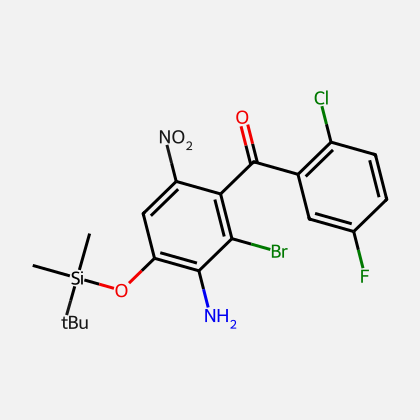 CC(C)(C)[Si](C)(C)Oc1cc([N+](=O)[O-])c(C(=O)c2cc(F)ccc2Cl)c(Br)c1N